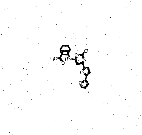 O=C(O)C1C2CCC(CC2)C1Nc1cc(-c2ccc(-c3ccco3)o2)nc(Cl)n1